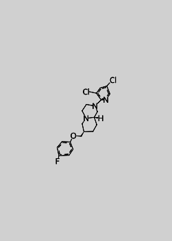 Fc1ccc(OC[C@@H]2CC[C@H]3CN(c4ncc(Cl)cc4Cl)CCN3C2)cc1